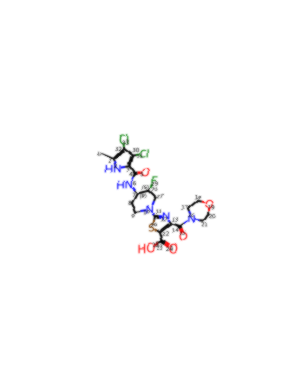 Cc1[nH]c(C(=O)N[C@@H]2CCN(c3nc(C(=O)N4CCOCC4)c(C(=O)O)s3)C[C@@H]2F)c(Cl)c1Cl